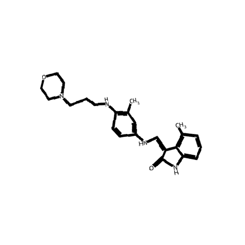 Cc1cc(N/C=C2\C(=O)Nc3cccc(C)c32)ccc1NCCCN1CCOCC1